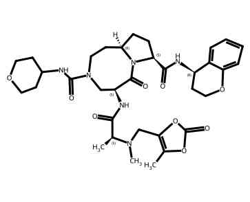 Cc1oc(=O)oc1CN(C)[C@@H](C)C(=O)N[C@H]1CN(C(=O)NC2CCOCC2)CC[C@H]2CC[C@@H](C(=O)N[C@@H]3CCOc4ccccc43)N2C1=O